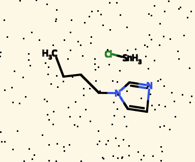 CCCCn1ccnc1.[Cl][SnH3]